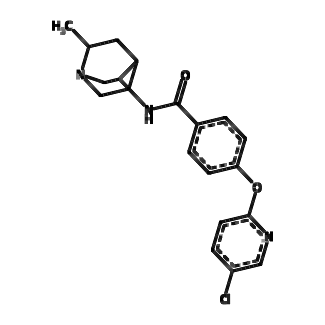 CC1CC2CCN1CC2NC(=O)c1ccc(Oc2ccc(Cl)cn2)cc1